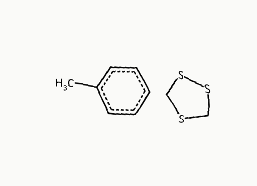 C1SCSS1.Cc1ccccc1